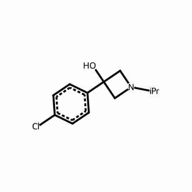 CC(C)N1CC(O)(c2ccc(Cl)cc2)C1